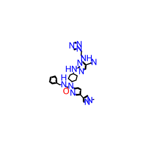 Cn1cc(-c2ccc(N(C(=O)NCc3ccccc3)[C@H]3CC[C@H](Nc4ncc(C#N)c(NCCn5cncn5)n4)CC3)nc2)cn1